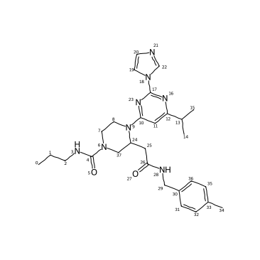 CCCNC(=O)N1CCN(c2cc(C(C)C)nc(-n3ccnc3)n2)C(CC(=O)NCc2ccc(C)cc2)C1